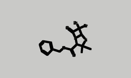 CC1(C)SC2N(C(=O)C2(Br)Br)C1C(=O)OCc1ccccc1